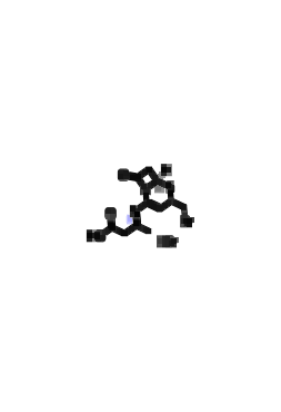 Br.C/C(CC(=O)O)=N\C1=CC(CBr)S[C@@H]2CC(=O)N12